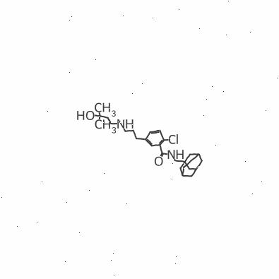 CC(C)(O)CCNCCCc1ccc(Cl)c(C(=O)NCC23CC4CC(CC(C4)C2)C3)c1